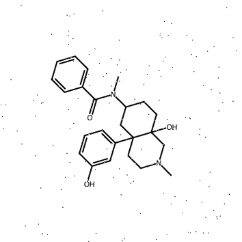 CN1CCC2(c3cccc(O)c3)CC(N(C)C(=O)c3ccccc3)CCC2(O)C1